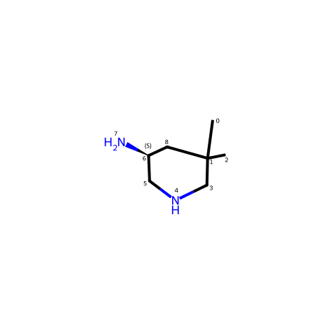 CC1(C)CNC[C@@H](N)C1